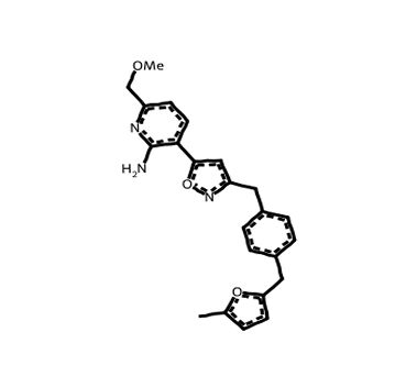 COCc1ccc(-c2cc(Cc3ccc(Cc4ccc(C)o4)cc3)no2)c(N)n1